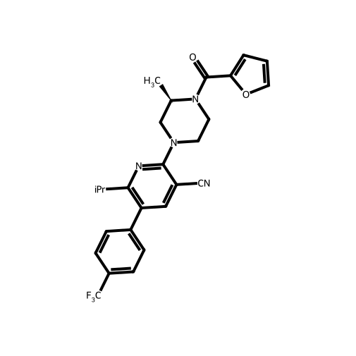 CC(C)c1nc(N2CCN(C(=O)c3ccco3)[C@H](C)C2)c(C#N)cc1-c1ccc(C(F)(F)F)cc1